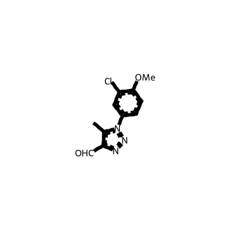 COc1ccc(-n2nnc(C=O)c2C)cc1Cl